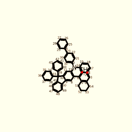 Cc1ccc2c(c1-c1cc3c(cc1N(c1ccccc1)c1ccc(-c4ccccc4)cc1)C(c1ccccc1)(c1ccccc1)c1ccccc1-3)CCCC2